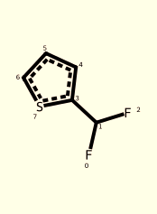 FC(F)c1cc[c]s1